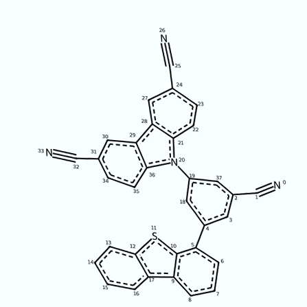 N#Cc1cc(-c2cccc3c2sc2ccccc23)cc(-n2c3ccc(C#N)cc3c3cc(C#N)ccc32)c1